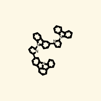 c1cc(-c2ccc3c(c2)c2ccccc2n3-c2cccc(-c3ccc4c5cccc6c7ccccc7n(c4c3)c65)n2)nc(-n2c3ccccc3c3ccccc32)c1